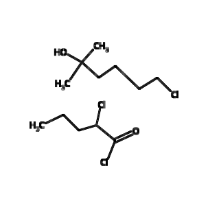 CC(C)(O)CCCCCl.CCCC(Cl)C(=O)Cl